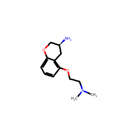 CN(C)CCOc1cccc2c1C[C@H](N)CO2